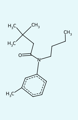 CCCCN(C(=O)CC(C)(C)C)c1cccc(C)c1